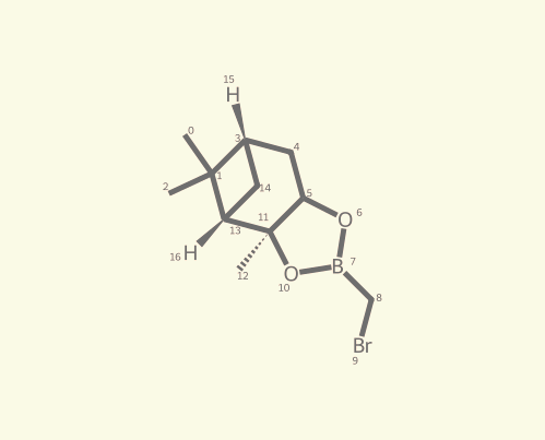 CC1(C)[C@@H]2CC3OB(CBr)O[C@@]3(C)[C@H]1C2